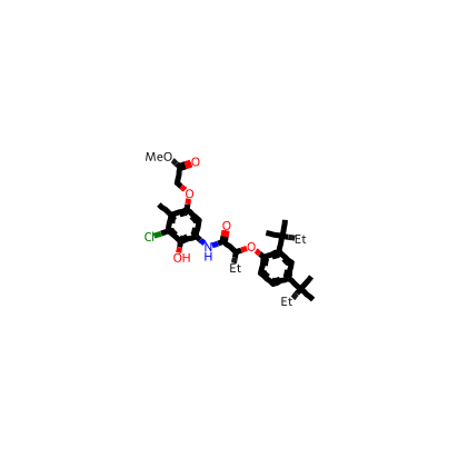 CCC(Oc1ccc(C(C)(C)CC)cc1C(C)(C)CC)C(=O)Nc1cc(OCC(=O)OC)c(C)c(Cl)c1O